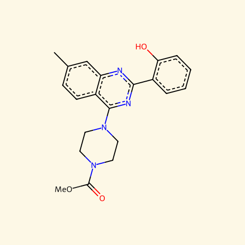 COC(=O)N1CCN(c2nc(-c3ccccc3O)nc3cc(C)ccc23)CC1